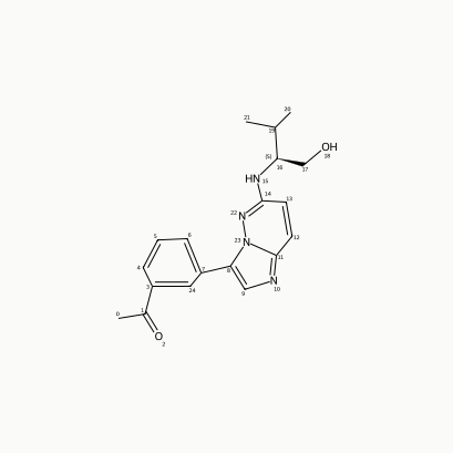 CC(=O)c1cccc(-c2cnc3ccc(N[C@H](CO)C(C)C)nn23)c1